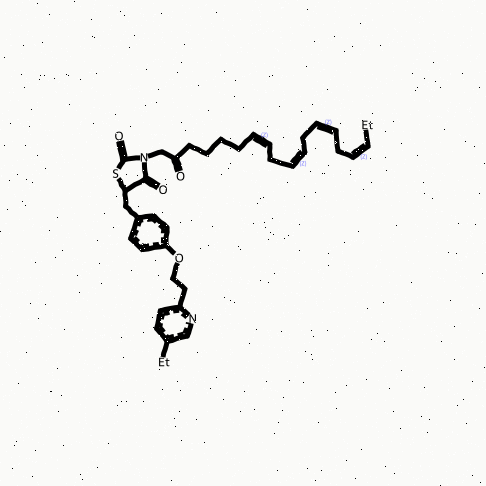 CC/C=C\C/C=C\C/C=C\C/C=C\CCCCC(=O)CN1C(=O)SC(Cc2ccc(OCCc3ccc(CC)cn3)cc2)C1=O